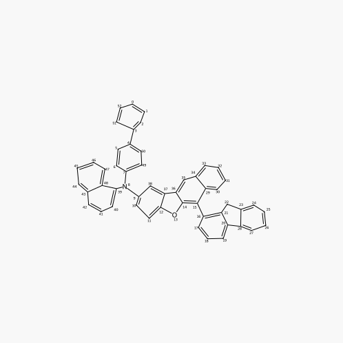 c1ccc(-c2ccc(N(c3ccc4oc5c(-c6cccc7c6Cc6ccccc6-7)c6ccccc6cc5c4c3)c3cccc4ccccc34)cc2)cc1